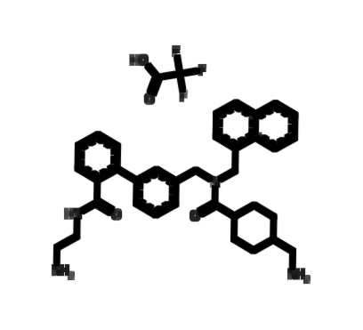 NCCNC(=O)c1ccccc1-c1cccc(CN(Cc2cccc3ccccc23)C(=O)C2CCC(CN)CC2)c1.O=C(O)C(F)(F)F